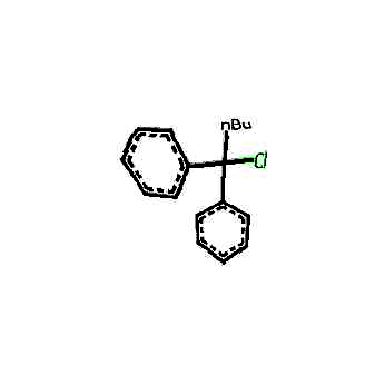 CCCCC(Cl)(c1ccccc1)c1ccccc1